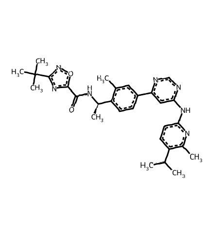 Cc1cc(-c2cc(Nc3ccc(C(C)C)c(C)n3)ncn2)ccc1[C@@H](C)NC(=O)c1nc(C(C)(C)C)no1